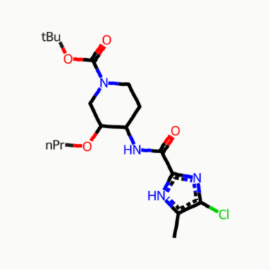 CCCOC1CN(C(=O)OC(C)(C)C)CCC1NC(=O)c1nc(Cl)c(C)[nH]1